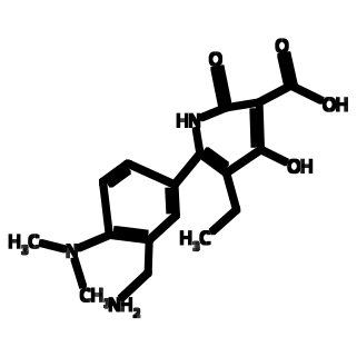 CCc1c(-c2ccc(N(C)C)c(CN)c2)[nH]c(=O)c(C(=O)O)c1O